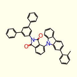 Cc1ccccc1-c1ccc2c3ccccc3n(-c3cccc4c3C(=O)N(c3cc(-c5ccccc5)cc(-c5ccccc5)c3)C4=O)c2c1